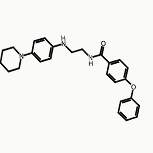 O=C(NCCNc1ccc(N2CCCCC2)cc1)c1ccc(Oc2ccccc2)cc1